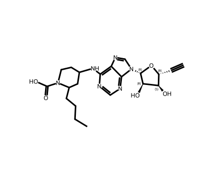 C#C[C@H]1O[C@@H](n2cnc3c(NC4CCN(C(=O)O)C(CCCC)C4)ncnc32)[C@H](O)[C@@H]1O